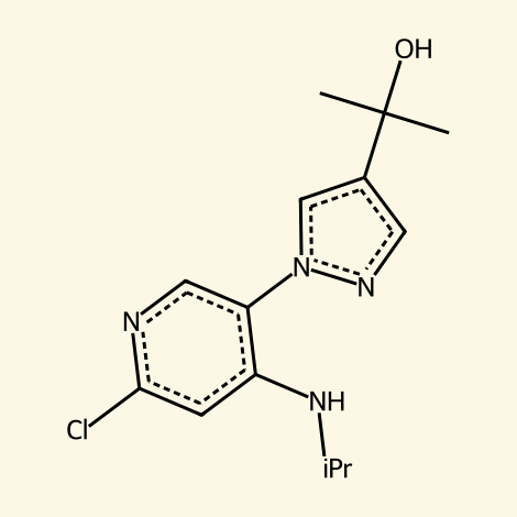 CC(C)Nc1cc(Cl)ncc1-n1cc(C(C)(C)O)cn1